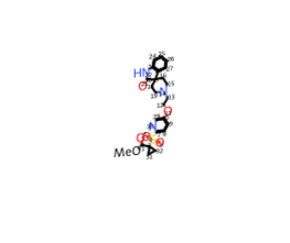 COC(=O)C1(S(=O)(=O)c2ccc(OCCN3CCC4(CC3)C(=O)Nc3ccccc34)cn2)CC1